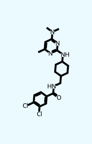 Cc1cc(N(C)C)nc(NC2CCC(CNC(=O)c3ccc(Cl)c(Cl)c3)CC2)n1